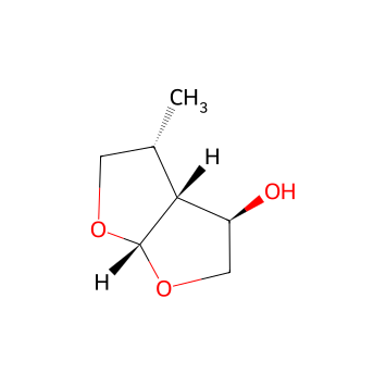 C[C@H]1CO[C@H]2OC[C@H](O)[C@H]21